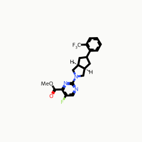 COC(=O)c1nc(N2C[C@H]3CC(c4ccccc4C(F)(F)F)C[C@H]3C2)ncc1F